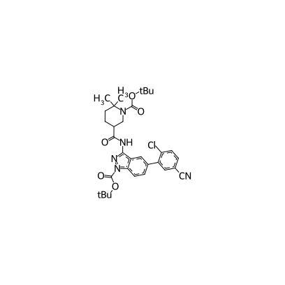 CC(C)(C)OC(=O)N1CC(C(=O)Nc2nn(C(=O)OC(C)(C)C)c3ccc(-c4cc(C#N)ccc4Cl)cc23)CCC1(C)C